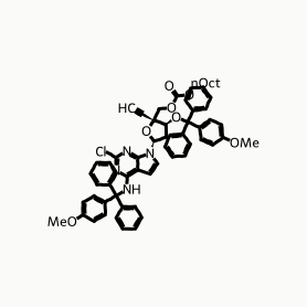 C#C[C@]1(COC(=O)OCCCCCCCC)O[C@@H](n2ccc3c(NC(c4ccccc4)(c4ccccc4)c4ccc(OC)cc4)nc(Cl)nc32)C[C@@H]1OC(c1ccccc1)(c1ccccc1)c1ccc(OC)cc1